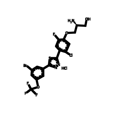 Cl.N[C@H](CO)COc1cc(Cl)c(-c2nnc(-c3cc(Br)cc(OC(F)(F)F)c3)s2)cc1F